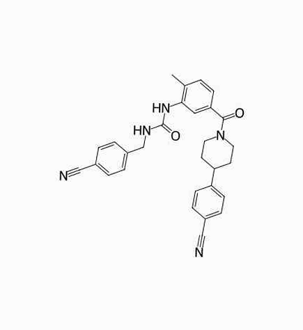 Cc1ccc(C(=O)N2CCC(c3ccc(C#N)cc3)CC2)cc1NC(=O)NCc1ccc(C#N)cc1